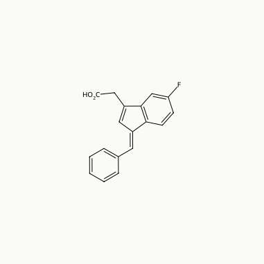 O=C(O)CC1=C/C(=C\c2ccccc2)c2ccc(F)cc21